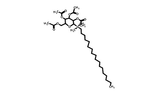 CCCCCCCCCCCCCCCCCC[Si](C)(C)C1OC(COC(C)=O)C(OC(C)=O)C(OC(C)=O)C1OC(C)=O